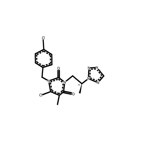 Cc1c(Cl)n(Cc2ccc(Cl)cc2)c(=O)n(C[C@H](C)n2ncnn2)c1=O